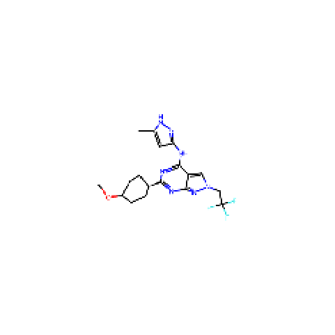 CO[C@H]1CC[C@@H](c2nc(Nc3cc(C)[nH]n3)c3cn(CC(F)(F)F)nc3n2)CC1